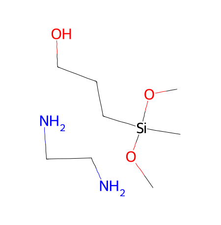 CO[Si](C)(CCCO)OC.NCCN